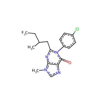 CC(Cc1nc2c(ncn2C)c(=O)n1-c1ccc(Cl)cc1)CC(F)(F)F